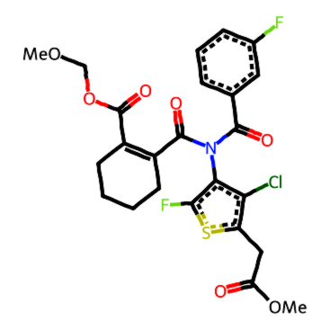 COCOC(=O)C1=C(C(=O)N(C(=O)c2cccc(F)c2)c2c(F)sc(CC(=O)OC)c2Cl)CCCC1